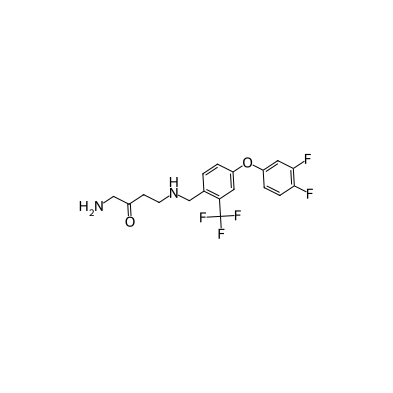 NCC(=O)CCNCc1ccc(Oc2ccc(F)c(F)c2)cc1C(F)(F)F